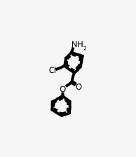 Nc1ccc(C(=O)Oc2ccccc2)c(Cl)c1